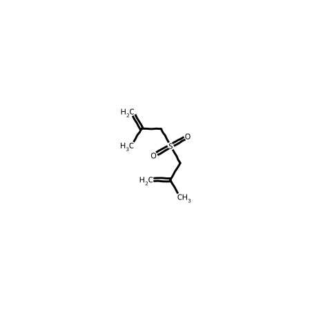 C=C(C)CS(=O)(=O)CC(=C)C